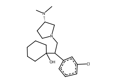 CN(C)[C@H]1CCN(CC(c2cccc(Cl)c2)C2(O)CCCCC2)C1